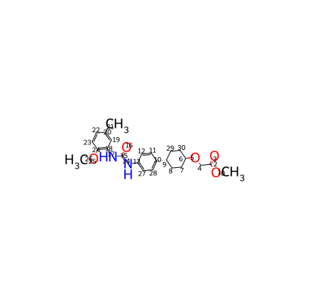 COC(=O)CO[C@H]1CC[C@H](c2ccc(NC(=O)Nc3cc(C)ccc3OC)cc2)CC1